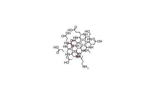 CC(=O)N[C@H](CC(=O)O)C(=O)N[C@H](CO)C(=O)N[C@H](CCC(=O)O)C(=O)N[C@H](CC(=O)O)C(=O)N[C@H](CC(N)=O)C(=O)N[C@H](CCCCN)C(=O)N[C@H](CC(=O)O)C(=O)N[C@H](CCC(=O)O)C(=O)N[C@H](CCC(=O)O)C(=O)O